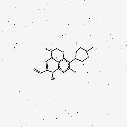 C[C@H]1COc2c(N3CCN(C)CC3)c(F)cc3c2N1C=C(C=O)C3O